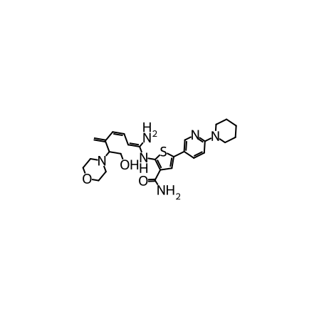 C=C(/C=C\C=C(/N)Nc1sc(-c2ccc(N3CCCCC3)nc2)cc1C(N)=O)C(CO)N1CCOCC1